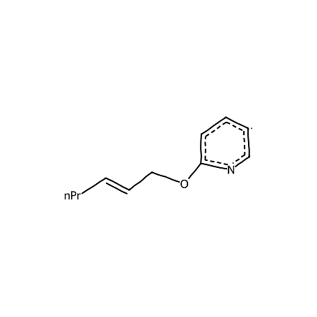 CCC/C=C/COc1cc[c]cn1